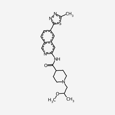 COC(C)CN1CCC(C(=O)Nc2cc3cc(-c4nnc(C)s4)ccc3cn2)CC1